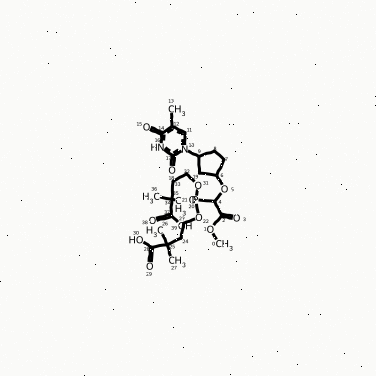 COC(=O)C(OC1CCC(n2cc(C)c(=O)[nH]c2=O)C1)P(=O)(OCCC(C)(C)C(=O)O)OCCC(C)(C)C(=O)O